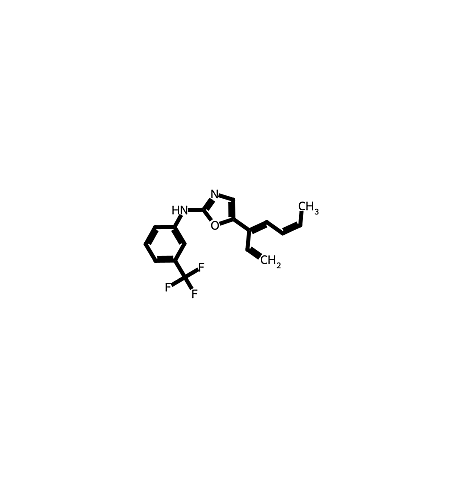 C=C/C(=C\C=C/C)c1cnc(Nc2cccc(C(F)(F)F)c2)o1